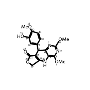 COc1nc(OC)c2c(n1)C(c1ccc(OC)c(O)c1)C1=C(COC1=O)N2